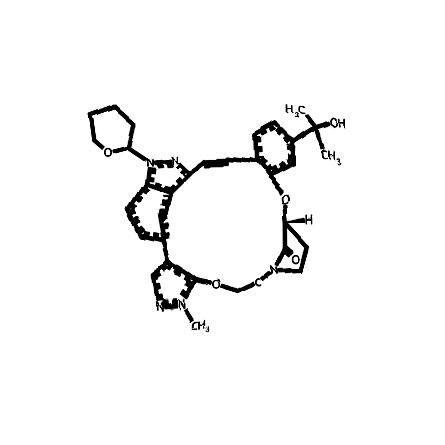 Cn1ncc2c1OCCN1CC[C@@H](Oc3cc(C(C)(C)O)ccc3C=Cc3nn(C4CCCCO4)c4ccc-2cc34)C1=O